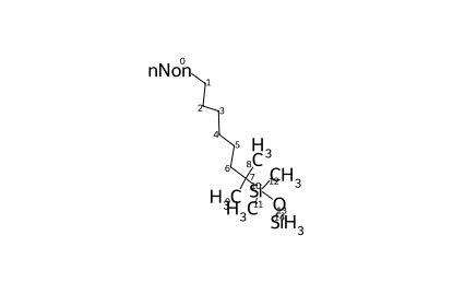 CCCCCCCCCCCCCCCC(C)(C)[Si](C)(C)O[SiH3]